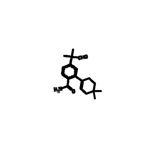 CC1(C)CC=C(c2cc(C(C)(C)C=O)ccc2C(N)=O)CC1